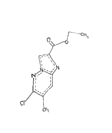 CCOC(=O)c1cn2nc(Cl)c(C)cc2n1